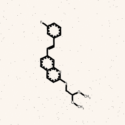 COC(CSc1ccc2ccc(C=Cc3cccc(F)c3)cc2n1)OC